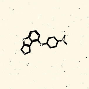 CN(C)C1CCC(Oc2cccc3sc4c(c23)CCC4)CC1